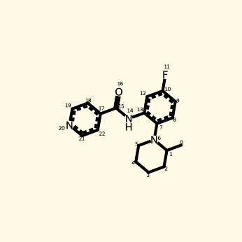 CC1CCCCN1c1ccc(F)cc1NC(=O)c1ccncc1